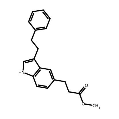 COC(=O)CCc1ccc2[nH]cc(CCc3ccccc3)c2c1